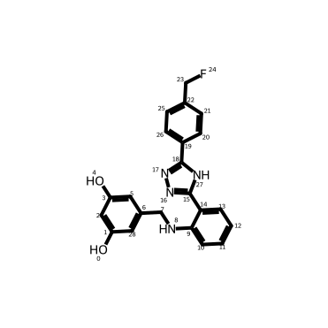 Oc1cc(O)cc(CNc2ccccc2-c2nnc(-c3ccc(CF)cc3)[nH]2)c1